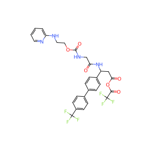 O=C(CNC(=O)OCCNc1ccccn1)NC(CC(=O)OC(=O)C(F)(F)F)c1ccc(-c2ccc(C(F)(F)F)cc2)cc1